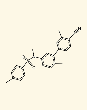 Cc1ccc(S(=O)(=O)N(C)c2ccc(C)c(-c3ccc(C#N)c(C)c3)c2)cc1